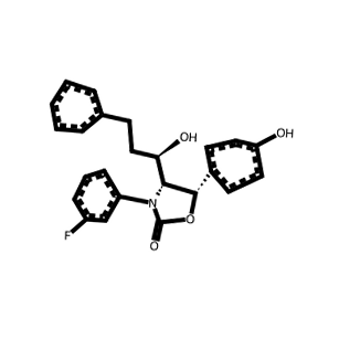 O=C1O[C@@H](c2ccc(O)cc2)[C@@H]([C@H](O)CCc2ccccc2)N1c1cccc(F)c1